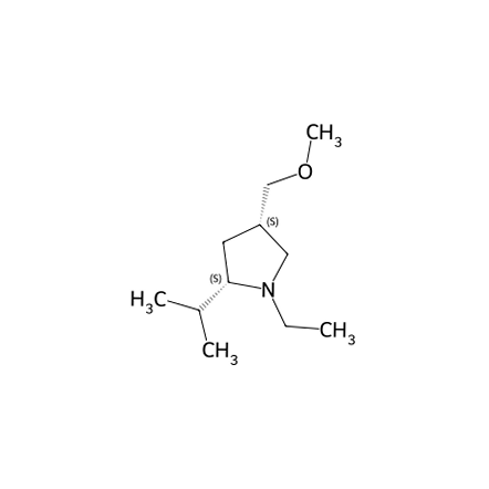 CCN1C[C@@H](COC)C[C@H]1C(C)C